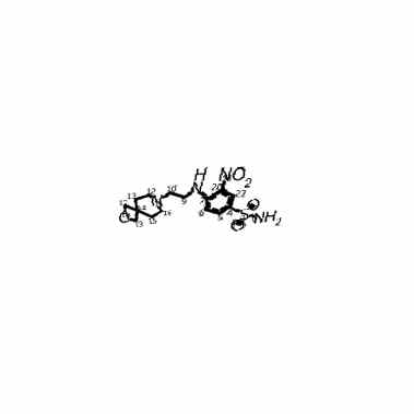 NS(=O)(=O)c1ccc(NCCN2CCC3(CC2)COC3)c([N+](=O)[O-])c1